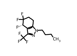 CCCCn1nc(C(F)(F)F)c2c1CCC(F)(F)[C@H]2F